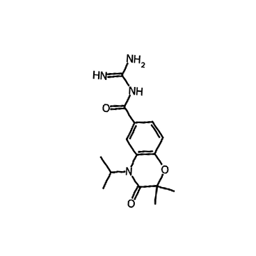 CC(C)N1C(=O)C(C)(C)Oc2ccc(C(=O)NC(=N)N)cc21